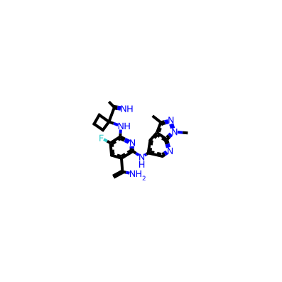 C=C(N)c1cc(F)c(NC2(C(C)=N)CCC2)nc1Nc1cnc2c(c1)c(C)nn2C